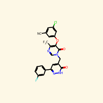 N#Cc1cc(Cl)cc(Oc2c(C(F)(F)F)ncn(Cc3cc(-c4cccc(F)c4)n[nH]c3=O)c2=O)c1